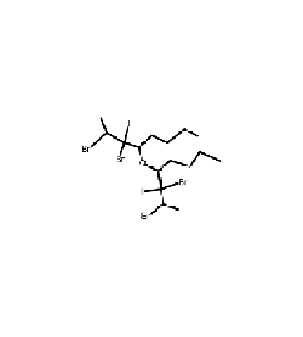 CCCCC(OC(CCCC)C(Br)(I)C(C)Br)C(Br)(I)C(C)Br